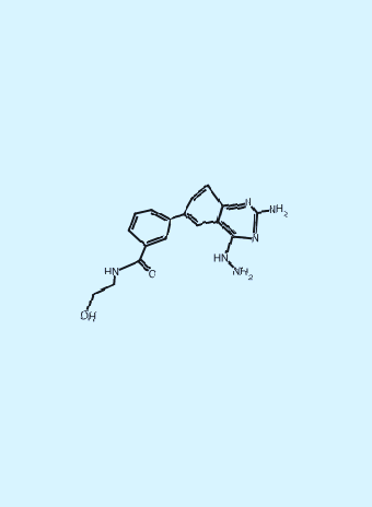 NNc1nc(N)nc2ccc(-c3cccc(C(=O)NCCO)c3)cc12